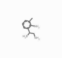 BC(CN)c1cccc(C)c1N